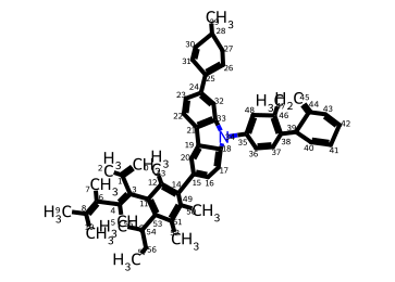 C=C(C)/C(=C(/C)C(C)=C(C)C)c1c(C)c(-c2ccc3c(c2)c2ccc(C4=CCC(C)C=C4)cc2n3-c2ccc(C3C=CC=CC3=C)c(C)c2)c(C)c(C)c1C(C)CC